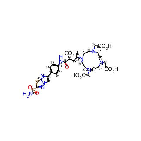 NS(=O)(=O)c1nn2cc(-c3ccc(NC(=O)CCC(C(=O)O)N4CCN(CC(=O)O)CCN(CC(=O)O)CCN(CC(=O)O)CC4)cc3)nc2s1